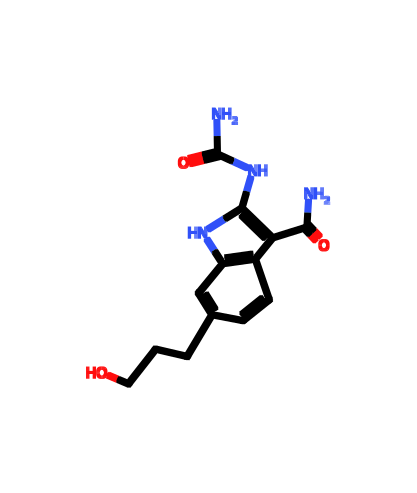 NC(=O)Nc1[nH]c2cc(CCCO)ccc2c1C(N)=O